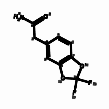 NC(=O)Cc1ccc2c(c1)OC(F)(F)O2